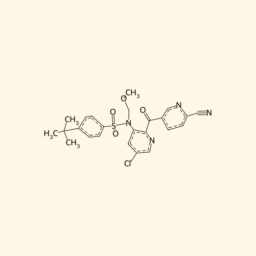 COCN(c1cc(Cl)cnc1C(=O)c1ccc(C#N)nc1)S(=O)(=O)c1ccc(C(C)(C)C)cc1